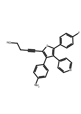 Nc1ccc(-c2c(C#CCCO)sc(-c3ccc(F)cc3)c2-c2ccncc2)cc1